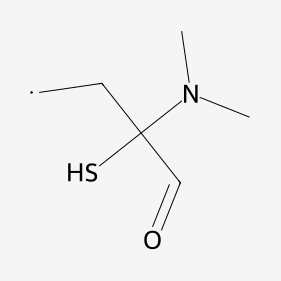 [CH2]CC(S)(C=O)N(C)C